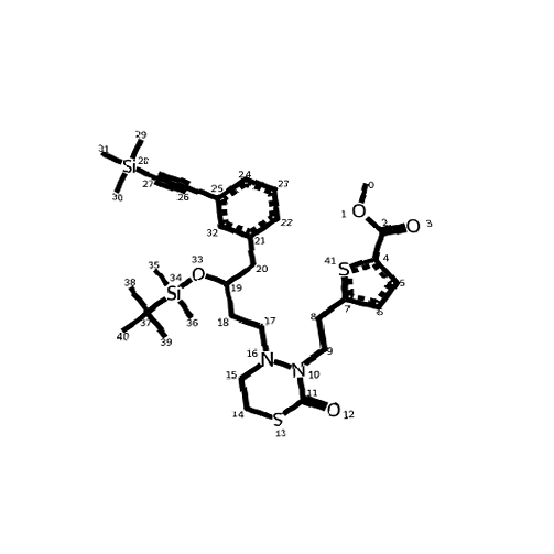 COC(=O)c1ccc(CCN2C(=O)SCCN2CCC(Cc2cccc(C#C[Si](C)(C)C)c2)O[Si](C)(C)C(C)(C)C)s1